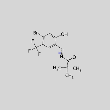 CC(C)(C)[S+]([O-])/N=C/c1cc(C(F)(F)F)c(Br)cc1O